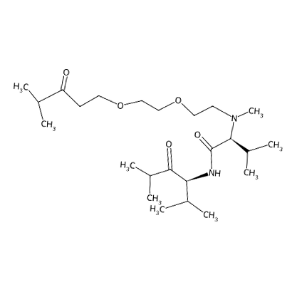 CC(C)C(=O)CCOCCOCCN(C)[C@H](C(=O)N[C@H](C(=O)C(C)C)C(C)C)C(C)C